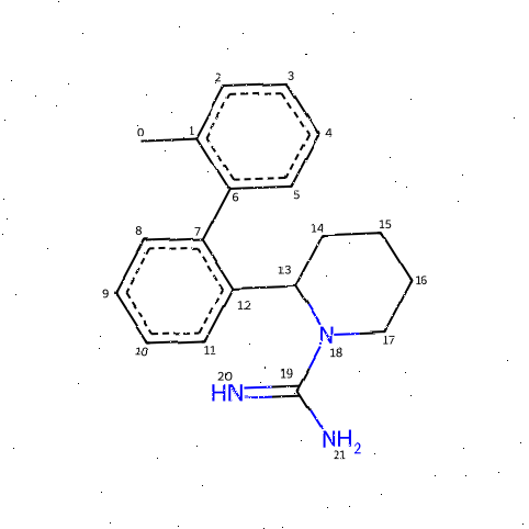 Cc1ccccc1-c1ccccc1C1CCCCN1C(=N)N